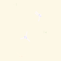 Clc1cnc(Br)c(N2CCOCC2)c1